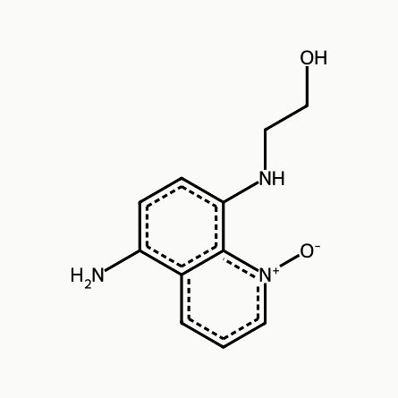 Nc1ccc(NCCO)c2c1ccc[n+]2[O-]